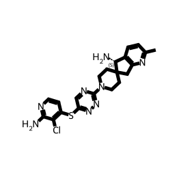 Cc1ccc2c(n1)CC1(CCN(c3ncc(Sc4ccnc(N)c4Cl)nn3)CC1)[C@@H]2N